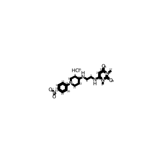 Cl.Cn1c(NCCNC2CCN(c3ccc([N+](=O)[O-])cc3)CC2)cc(=O)n(C)c1=O